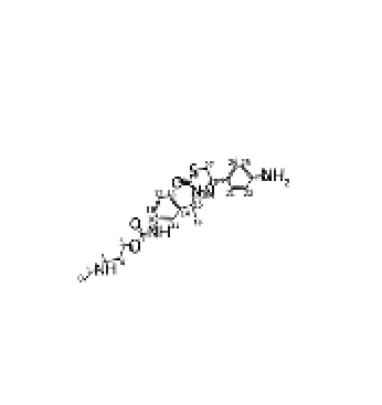 CCNCCCOC(=O)Nc1cccc(C(C)N2N=C(c3ccc(N)cc3)CSC2=O)c1